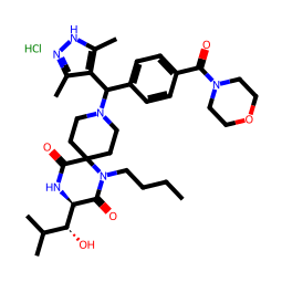 CCCCN1C(=O)[C@@H]([C@H](O)C(C)C)NC(=O)C12CCN(C(c1ccc(C(=O)N3CCOCC3)cc1)c1c(C)n[nH]c1C)CC2.Cl